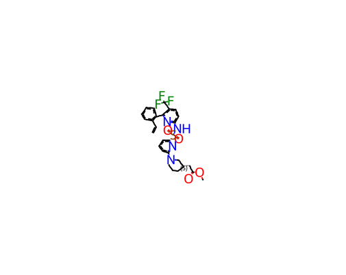 C=Cc1ccccc1-c1nc(NS(=O)(=O)c2cccc(N3CCC[C@@H](CC(=O)OC)C3)n2)ccc1C(F)(F)F